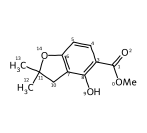 COC(=O)c1ccc2c(c1O)CC(C)(C)O2